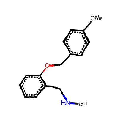 COc1ccc(COc2ccccc2CNC(C)(C)C)cc1